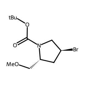 COC[C@H]1C[C@H](Br)CN1C(=O)OC(C)(C)C